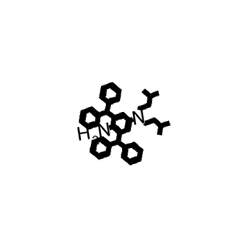 CC(C)CCN(CCC(C)C)c1cc(C(c2ccccc2)c2ccccc2)c(N)c(C(c2ccccc2)c2ccccc2)c1